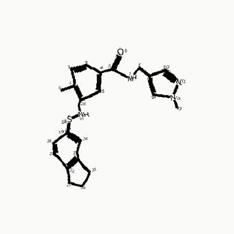 Cc1ccc(C(=O)NCc2cnn(C)c2)cc1NSc1ccc2c(c1)CCC2